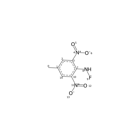 Cc1cc([N+](=O)[O-])c(NF)c([N+](=O)[O-])c1